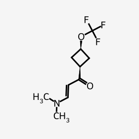 CN(C)C=CC(=O)[C@H]1C[C@@H](OC(F)(F)F)C1